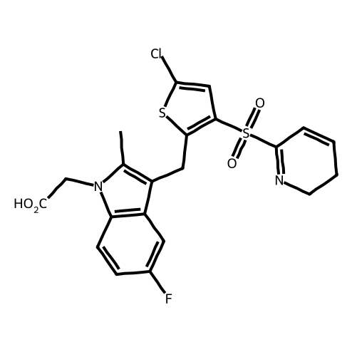 Cc1c(Cc2sc(Cl)cc2S(=O)(=O)C2=NCCC=C2)c2cc(F)ccc2n1CC(=O)O